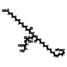 CCCCC/C=C\C/C=C\CCCCCCCCCC(=O)O[C@H](COC(=O)CCCCCCCCCCCCCCCCCCCCC)COP(=O)(O)OC[C@@H](O)CO